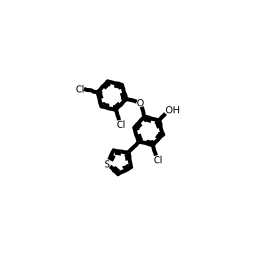 Oc1cc(Cl)c(-c2ccsc2)cc1Oc1ccc(Cl)cc1Cl